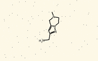 CN1CCn2nc(CN)cc2C1